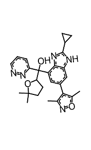 Cc1noc(C)c1-c1cc(C(O)(c2cccnn2)C2CCC(C)(C)O2)c2nc(C3CC3)[nH]c2c1